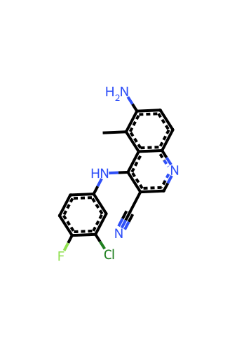 Cc1c(N)ccc2ncc(C#N)c(Nc3ccc(F)c(Cl)c3)c12